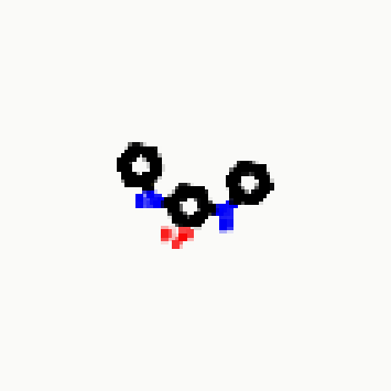 O.c1ccc(Nc2ccc(Nc3ccccc3)cc2)cc1